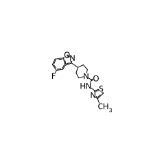 Cc1csc(NC(=O)N2CCC(c3noc4ccc(F)cc34)CC2)n1